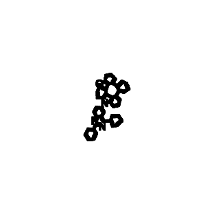 c1ccc(-c2nc(-c3ccccc3)c3cc(-n4c5cccc6c7ccccc7c7cccc8oc9ccc4c(c9c87)c65)ccc3n2)cc1